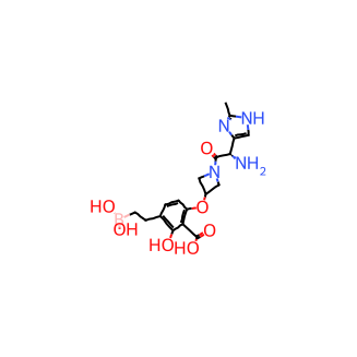 Cc1nc([C@@H](N)C(=O)N2CC(Oc3ccc(CCB(O)O)c(O)c3C(=O)O)C2)c[nH]1